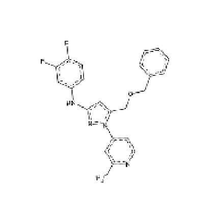 Cc1cc(-n2nc(Nc3ccc(F)c(F)c3)cc2COCc2ccccc2)ccn1